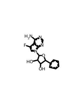 Nc1ncnc2c1c(F)cn2C1OC(c2ccccc2)C(O)C1O